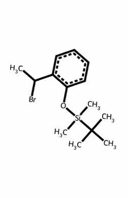 CC(Br)c1ccccc1O[Si](C)(C)C(C)(C)C